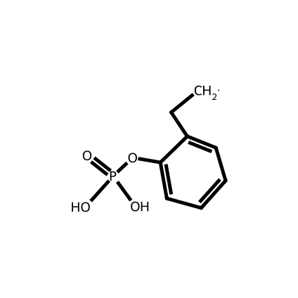 [CH2]Cc1ccccc1OP(=O)(O)O